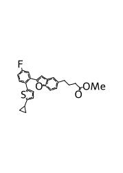 COC(=O)CCCc1ccc2oc(-c3cc(F)ccc3-c3ccc(C4CC4)s3)cc2c1